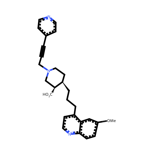 COc1ccc2nccc(CCC[C@@H]3CCN(CC#Cc4ccncc4)C[C@@H]3C(=O)O)c2c1